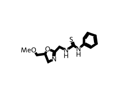 COCC1CN=C(CNC(=S)Nc2ccccc2)O1